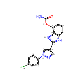 NC(=O)Oc1cccc2[nH]c(-c3cnn(-c4ccc(Br)cc4)c3)nc12